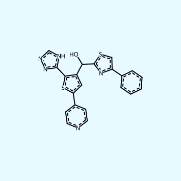 OC(c1nc(-c2ccccc2)cs1)c1cc(-c2ccncc2)sc1-c1nnc[nH]1